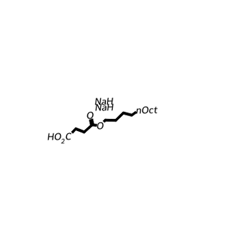 CCCCCCCCCCCCOC(=O)CCC(=O)O.[NaH].[NaH]